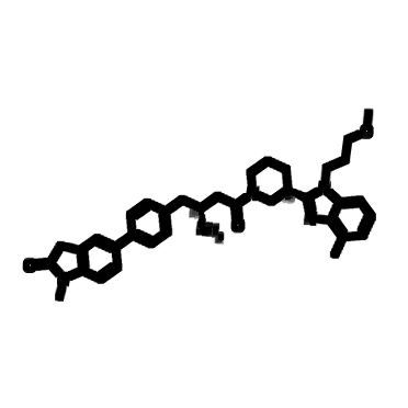 COCCCn1c([C@@H]2CCCN(C(=O)C[C@H](N)Cc3ccc(-c4ccc5c(c4)CC(=O)N5C)cc3)C2)nc2c(C)cccc21